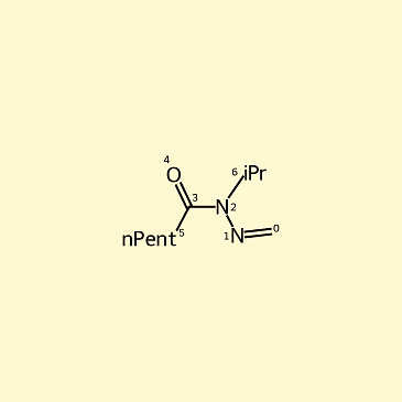 C=NN(C(=O)CCCCC)C(C)C